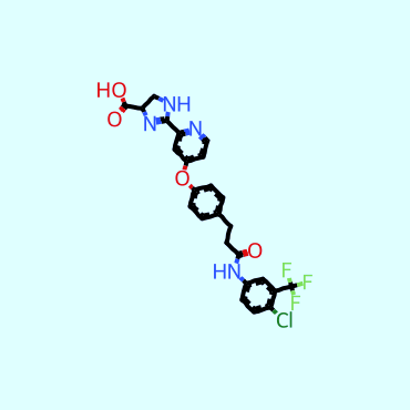 O=C(CCc1ccc(Oc2ccnc(C3=NC(C(=O)O)CN3)c2)cc1)Nc1ccc(Cl)c(C(F)(F)F)c1